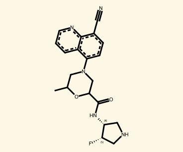 CC1CN(c2ccc(C#N)c3ncccc23)CC(C(=O)N[C@@H]2CNC[C@@H]2F)O1